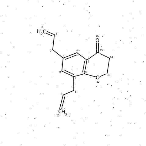 C=CCc1[c]c2c(c(CC=C)c1)OCCC2=O